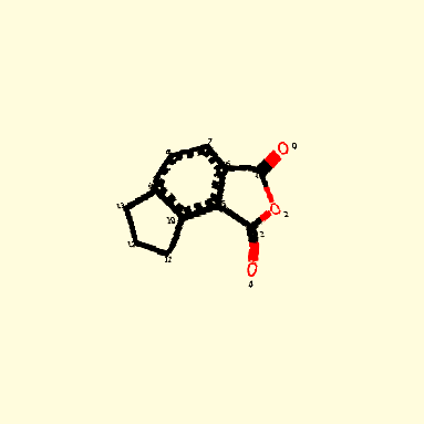 O=C1OC(=O)c2c1ccc1c2CCC1